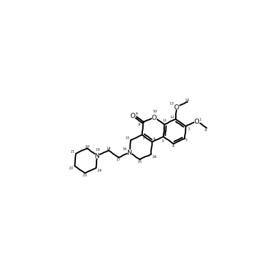 COc1ccc2c3c(c(=O)oc2c1OC)CN(CCN1CCCCC1)CC3